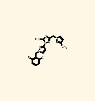 Cc1ccn(CC2=NN(c3ccn(Cc4c(F)cccc4Cl)n3)C(N)S2)n1